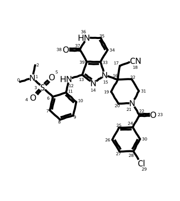 CN(C)S(=O)(=O)c1ccccc1Nc1nn(C2(CC#N)CCN(C(=O)c3cccc(Cl)c3)CC2)c2cc[nH]c(=O)c12